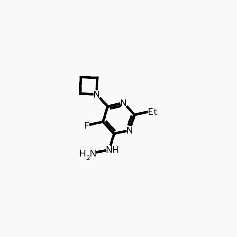 CCc1nc(NN)c(F)c(N2CCC2)n1